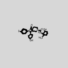 O=C(Nc1c(O)cccc1O)N1CCC2(CC1)C(=O)N(c1ccc(F)cc1)C2c1ccc(O)cc1